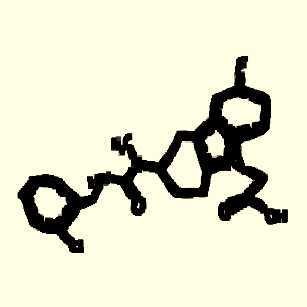 CN(C(=O)NCc1ccccc1Cl)C1CCc2c(c3cc(F)ccc3n2CC(=O)O)C1